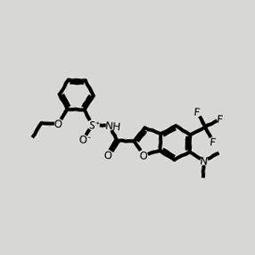 CCOc1ccccc1[S+]([O-])NC(=O)c1cc2cc(C(F)(F)F)c(N(C)C)cc2o1